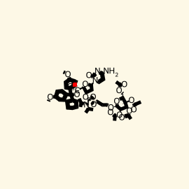 COc1ccc(C(O[13CH](C(C)=O)[C@H]2O[C@@H](n3ccc(N)nc3=O)C[C@@H]2OP(=O)(OCCCO[C@@H]2O[C@H](COC(C)=O)[C@@H](OC(C)=O)[C@H](OC(C)=O)[C@H]2OC(C)=O)N(C(C)C)C(C)C)(c2ccccc2)c2ccc(OC)cc2)cc1